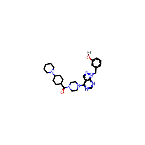 CCOc1cccc(Cn2ncc3c(N4CCN(C(=O)C5CCC(N6CCCCC6)CC5)CC4)ncnc32)c1